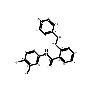 O=C(Nc1ccc(F)c(F)c1)c1ccccc1SCc1ccncc1